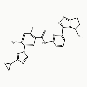 Cc1cc(F)c(C(=O)Nc2cccc(-c3nnc4n3C(C)CC4)n2)cc1-n1cnc(C2CC2)c1